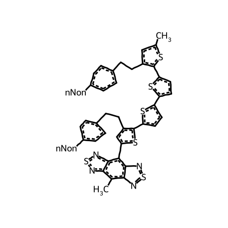 CCCCCCCCCc1ccc(CCc2cc(C)sc2-c2ccc(-c3ccc(-c4sc(-c5c6c(c(C)c7nsnc57)N=S=N6)cc4CCc4ccc(CCCCCCCCC)cc4)s3)s2)cc1